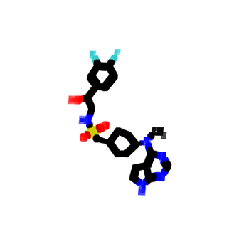 CN(c1ncnc2[nH]ccc12)[C@H]1CC[C@H](CS(=O)(=O)NCC(O)c2ccc(F)c(F)c2)CC1